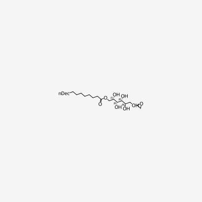 C1CO1.CCCCCCCCCCCCCCCCCC(=O)OC[C@H](O)[C@@H](O)[C@H](O)[C@H](O)CO